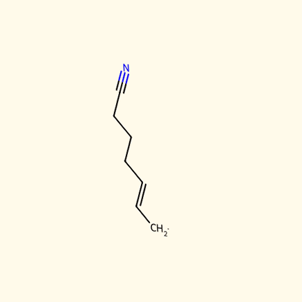 [CH2]/C=C/CCCC#N